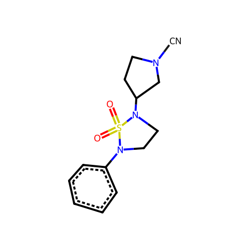 N#CN1CCC(N2CCN(c3ccccc3)S2(=O)=O)C1